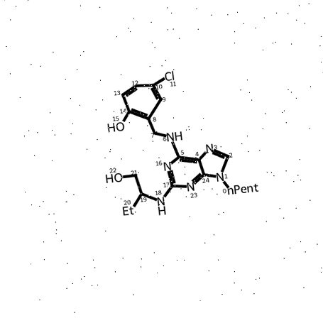 CCCCCn1cnc2c(NCc3cc(Cl)ccc3O)nc(NC(CC)CO)nc21